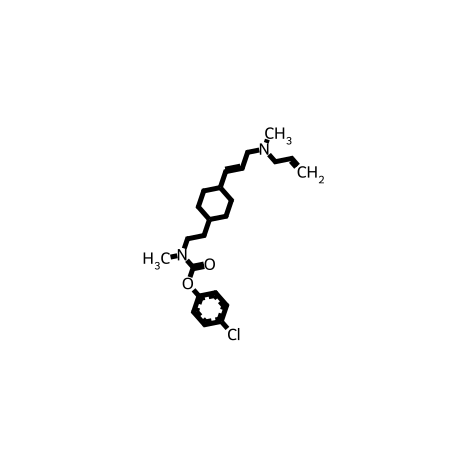 C=CCN(C)CC=CC1CCC(CCN(C)C(=O)Oc2ccc(Cl)cc2)CC1